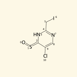 O=S=c1[nH]c(CI)ncc1Cl